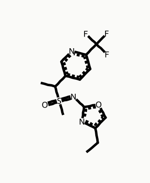 CCc1coc(N=S(C)(=O)C(C)c2ccc(C(F)(F)F)nc2)n1